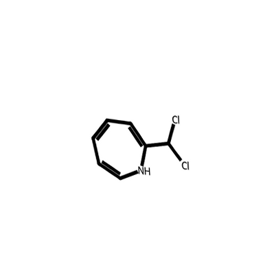 ClC(Cl)C1=CC=CC=CN1